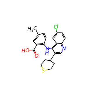 Cc1ccc(Nc2c(C3CCSCC3)cnc3ccc(Cl)cc23)c(C(=O)O)c1